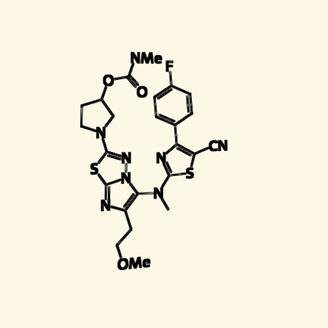 CNC(=O)OC1CCN(c2nn3c(N(C)c4nc(-c5ccc(F)cc5)c(C#N)s4)c(CCOC)nc3s2)C1